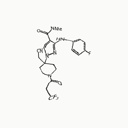 CNC(=O)c1cn(C2(CC#N)CCN(C(=O)CC(F)(F)F)CC2)nc1Nc1ccc(F)cc1